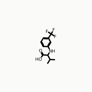 CC(C)C(Nc1cccc(C(F)(F)F)c1)C(=O)O